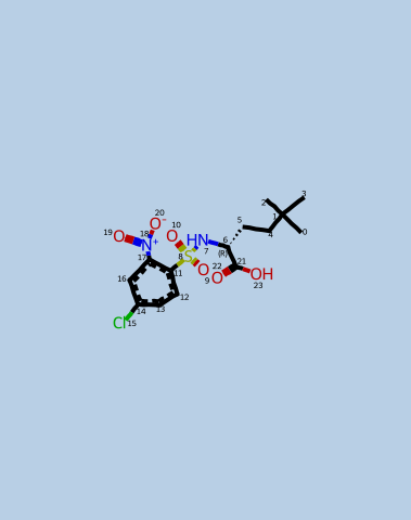 CC(C)(C)CC[C@@H](NS(=O)(=O)c1ccc(Cl)cc1[N+](=O)[O-])C(=O)O